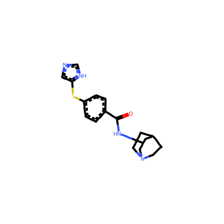 O=C(NC1CC2CCN(CC2)C1)c1ccc(Sc2cnc[nH]2)cc1